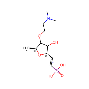 B[C@@H]1O[C@H](/C=C/P(=O)(O)O)C(O)C1OCCN(C)C